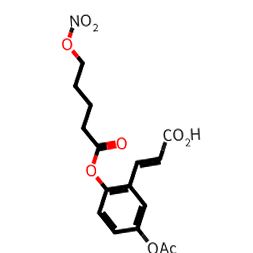 CC(=O)Oc1ccc(OC(=O)CCCCO[N+](=O)[O-])c(C=CC(=O)O)c1